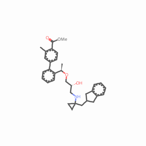 COC(=O)c1ccc(-c2ccccc2[C@@H](C)OC[C@H](O)CNC2(CC3Cc4ccccc4C3)CC2)cc1C